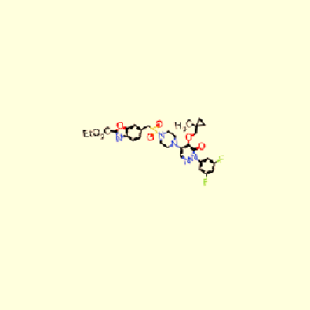 CCOC(=O)c1nc2ccc(CS(=O)(=O)N3CCN(c4cnn(-c5cc(F)cc(F)c5)c(=O)c4OCC4(C)CC4)CC3)cc2o1